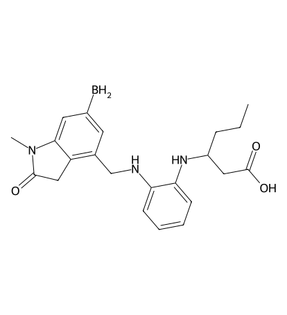 Bc1cc(CNc2ccccc2NC(CCC)CC(=O)O)c2c(c1)N(C)C(=O)C2